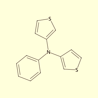 c1ccc(N(c2ccsc2)c2ccsc2)cc1